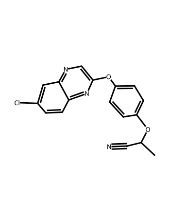 CC(C#N)Oc1ccc(Oc2cnc3cc(Cl)ccc3n2)cc1